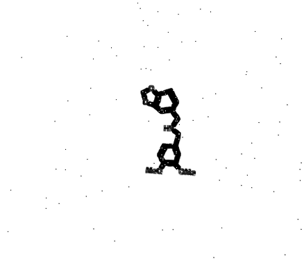 COc1ccc(CNCc2ccc3c(c2)OCO3)cc1OC